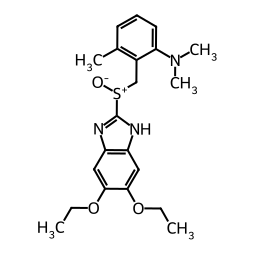 CCOc1cc2nc([S+]([O-])Cc3c(C)cccc3N(C)C)[nH]c2cc1OCC